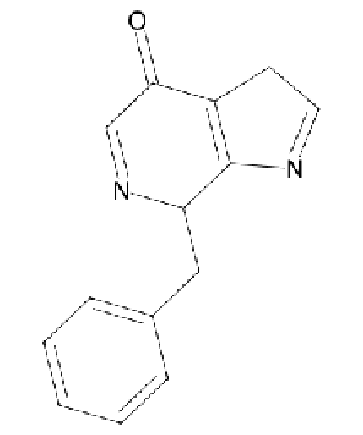 O=C1C=NC(Cc2ccccc2)C2=C1CC=N2